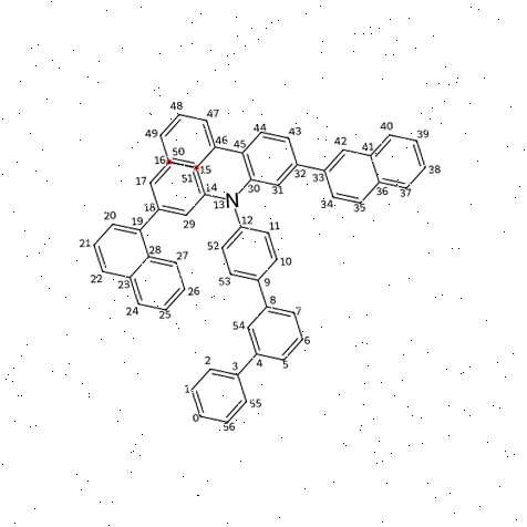 c1ccc(-c2cccc(-c3ccc(N(c4cccc(-c5cccc6ccccc56)c4)c4cc(-c5ccc6ccccc6c5)ccc4-c4ccccc4)cc3)c2)cc1